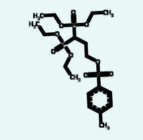 CCOP(=O)(OCC)C(CCOS(=O)(=O)c1ccc(C)cc1)P(=O)(OCC)OCC